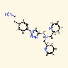 NCCc1ccc(-n2cc(CN(Cc3ccccn3)Cc3ccccn3)nn2)cc1